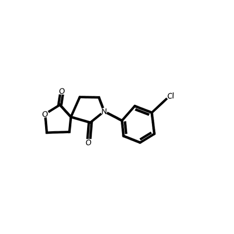 O=C1OCCC12CCN(c1cccc(Cl)c1)C2=O